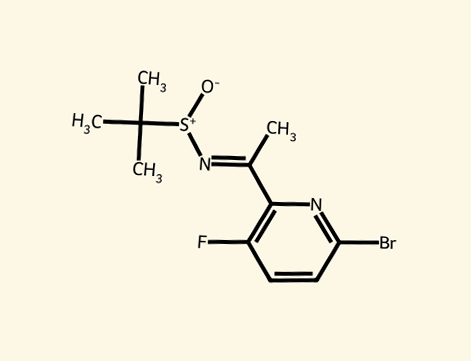 CC(=N[S+]([O-])C(C)(C)C)c1nc(Br)ccc1F